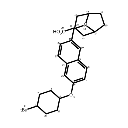 CC(C)(C)C1CCC(Oc2ccc3cc(CN4C5CCC4CC(C(=O)O)C5)ccc3c2)CC1